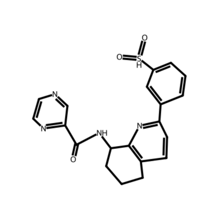 O=C(NC1CCCc2ccc(-c3cccc([SH](=O)=O)c3)nc21)c1cnccn1